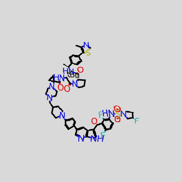 Cc1ncsc1-c1ccc([C@H](C)NC(=O)[C@@H]2CCCN2C(=O)[C@@H](NC(=O)C2(N3CCN(CC4CCN(c5ccc(-c6cnc7[nH]cc(C(=O)c8c(F)ccc(NS(=O)(=O)N9CC[C@@H](F)C9)c8F)c7c6)cc5)CC4)CC3)CC2)C(C)(C)C)cc1